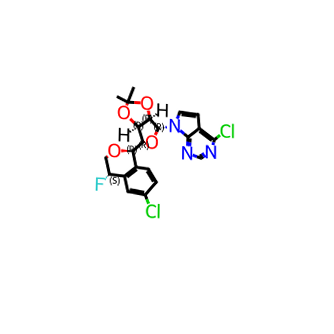 CC1(C)O[C@H]2[C@@H](O1)[C@H](n1ccc3c(Cl)ncnc31)O[C@@H]2[C@@H]1OC[C@@H](F)c2cc(Cl)ccc21